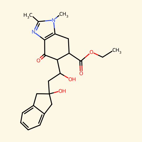 CCOC(=O)C1Cc2c(nc(C)n2C)C(=O)C1C(O)CC1(O)Cc2ccccc2C1